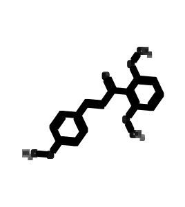 COc1ccc(C=CC(=O)c2c(OC)cccc2OC)cc1